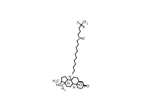 C[C@]12CCC(=O)C=C1C[C@@H](CCCCCCCCCCC[S+]([O-])CCCC(F)(F)C(F)(F)F)[C@@H]1[C@@H]2CC[C@@]2(C)[C@H]1CC[C@]2(C)O